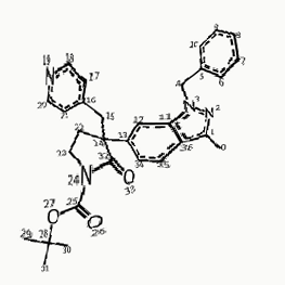 Cc1nn(Cc2ccccc2)c2cc(C3(Cc4ccncc4)CCN(C(=O)OC(C)(C)C)C3=O)ccc12